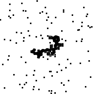 CCc1cccc(C(O)CNC(=C[N+](=O)[O-])NCCSCc2cc(C)c(CN(C)C)s2)c1